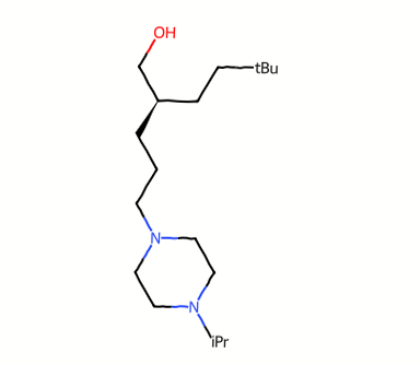 CC(C)N1CCN(CCC[C@@H](CO)CCC(C)(C)C)CC1